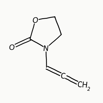 C=C=CN1CCOC1=O